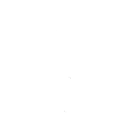 CCc1ccc2oc(C(=O)NCCN3CCCC3)cc2c1